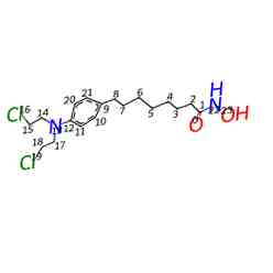 O=C(CCCCCCCc1ccc(N(CCCl)CCCl)cc1)NO